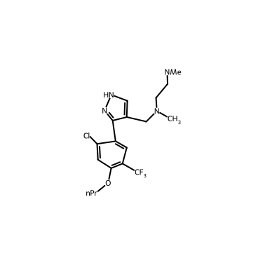 CCCOc1cc(Cl)c(-c2n[nH]cc2CN(C)CCNC)cc1C(F)(F)F